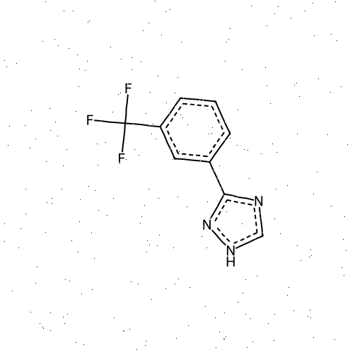 FC(F)(F)c1cccc(-c2nc[nH]n2)c1